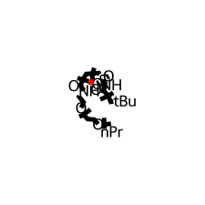 CCCC(C)(C)OCCC(C)(C)OCCNC(=O)C(C)(C)CC(C)(C)CS(=O)(=O)NC(=O)C(C)(C)CC(C)(C)C